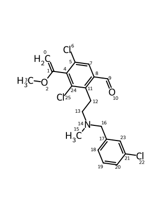 C=C(OC)c1c(Cl)cc(C=O)c(CCN(C)Cc2cccc(Cl)c2)c1Cl